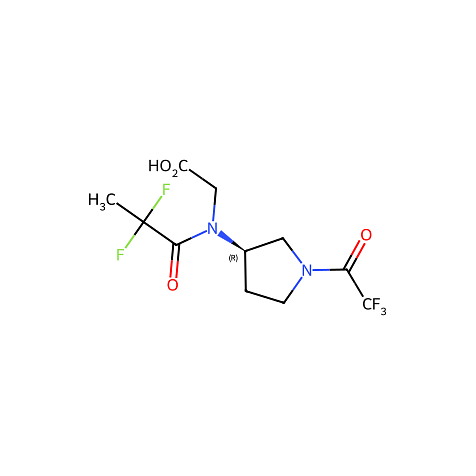 CC(F)(F)C(=O)N(CC(=O)O)[C@@H]1CCN(C(=O)C(F)(F)F)C1